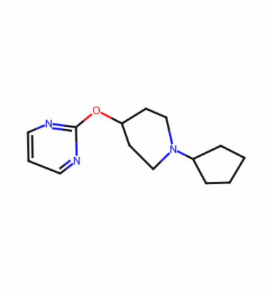 c1cnc(OC2CCN(C3CCCC3)CC2)nc1